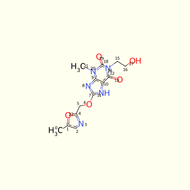 Cc1cnc(COc2nc3c([nH]2)c(=O)n(CCO)c(=O)n3C)o1